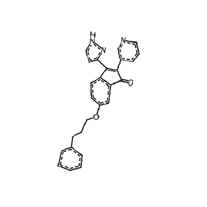 O=C1C(c2cccnc2)=C(c2cc[nH]n2)c2ccc(OCCCc3ccccc3)cc21